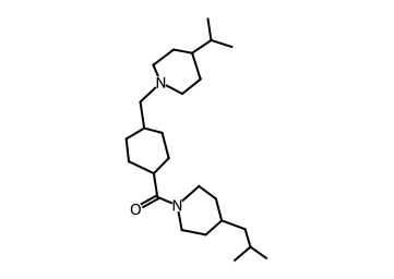 CC(C)CC1CCN(C(=O)C2CCC(CN3CCC(C(C)C)CC3)CC2)CC1